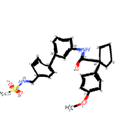 COc1ccc(C2(C(=O)Nc3cccc(-c4ccc(CNS(C)(=O)=O)cc4)c3)CCCC2)cc1